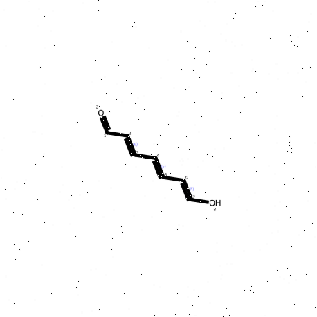 O=C/C=C/C=C/C=C/O